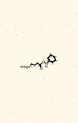 CCCCCCCCCCC(=O)ONc1ccccc1